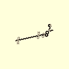 CCCN(CCc1cccs1)C1CCc2c(cccc2OC(=O)CCNC(=O)CCCCCCCCCCCCCCC(=O)NCC)C1